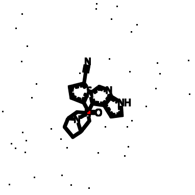 N#Cc1ccc(C(=O)N2C3CCC2CN(c2ncnc4[nH]ccc24)C3)s1